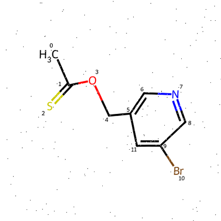 CC(=S)OCc1cncc(Br)c1